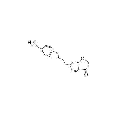 CCc1ccc(CCCCc2ccc3c(c2)OCCC3=O)cc1